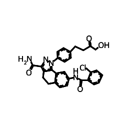 NC(=O)c1nn(-c2ccc(CCC(=O)CO)cc2)c2c1CCc1ccc(NC(=O)c3ccccc3Cl)cc1-2